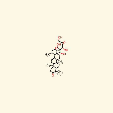 CC1CCCC2(C(O)[C@@H](C(=O)O)C(O)C3OC3CO)CCC3C(=CCC4C3(C)CCC3C(C)(C)C(=O)CCC34C)C12